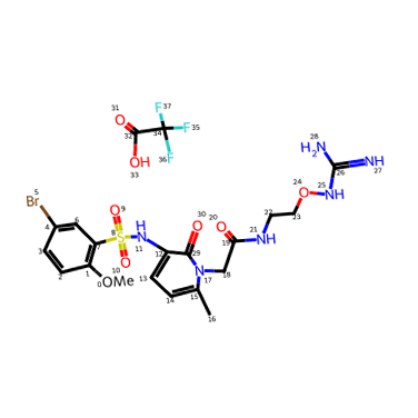 COc1ccc(Br)cc1S(=O)(=O)Nc1ccc(C)n(CC(=O)NCCONC(=N)N)c1=O.O=C(O)C(F)(F)F